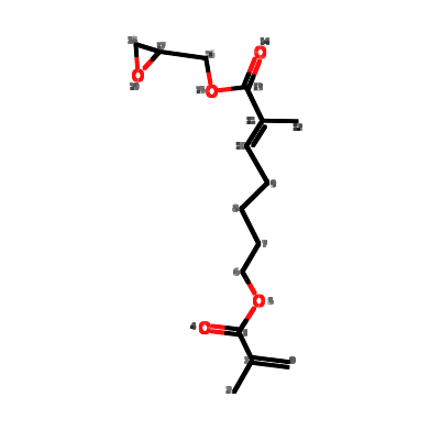 C=C(C)C(=O)OCCCCC=C(C)C(=O)OCC1CO1